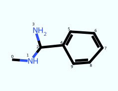 CNC(N)c1ccccc1